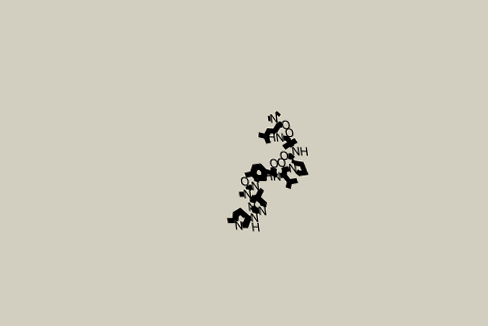 Cc1ccc(Nc2ncc3c(n2)N(C)C(=O)N(c2cc(C(=O)NC(C(=O)N4CCC[C@@H]4C(=O)NC(C)(C)C(=O)NC(CC(C)C)C(=O)N(C)C)C(C)C)ccc2C)C3)cn1